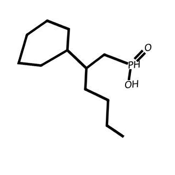 CCCCC(C[PH](=O)O)C1CCCCC1